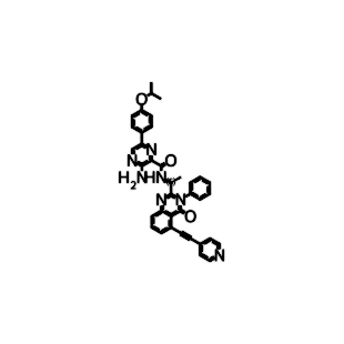 CC(C)Oc1ccc(-c2cnc(N)c(C(=O)N[C@@H](C)c3nc4cccc(C#Cc5ccncc5)c4c(=O)n3-c3ccccc3)n2)cc1